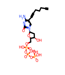 C#CCCCC#Cc1cn([C@H]2C[C@@H](O)C(COP(=O)(O)OP(=O)(O)OP(=O)(O)O)O2)c(=O)nc1N